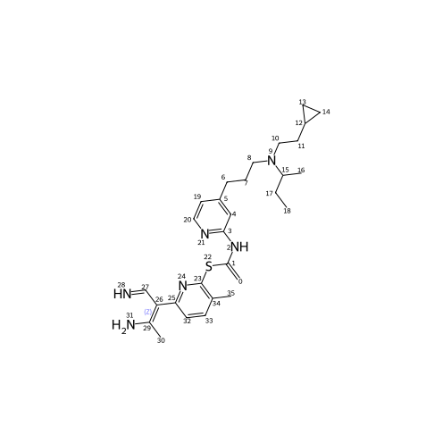 C=C(Nc1cc(CCCN(CCC2CC2)C(C)CC)ccn1)Sc1nc(/C(C=N)=C(\C)N)ccc1C